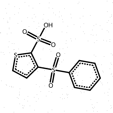 O=S(=O)(O)c1sccc1S(=O)(=O)c1ccccc1